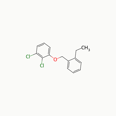 CCc1ccccc1COc1cccc(Cl)c1Cl